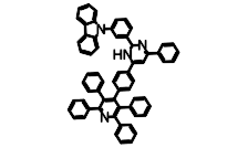 C1=C(c2ccc(-c3c(-c4ccccc4)c(-c4ccccc4)nc(-c4ccccc4)c3-c3ccccc3)cc2)NC(c2cccc(-n3c4ccccc4c4ccccc43)c2)N=C1c1ccccc1